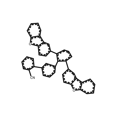 N#Cc1ccccc1-c1cccc(-c2c(-c3ccc4oc5ccccc5c4c3)cccc2-c2ccc3oc4ccccc4c3c2)c1